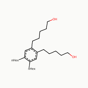 [CH2]CCCCCc1cc(CCCCCO)c(CCCCCO)cc1CCCCC[CH2]